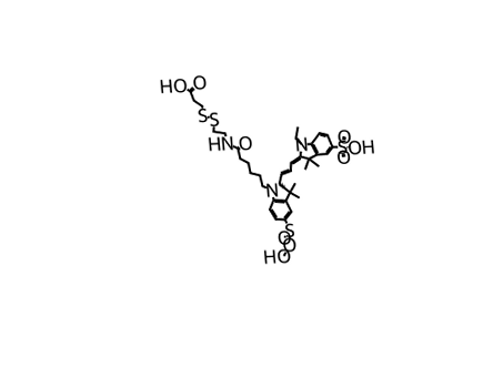 CCN1/C(=C/C=C/C2=[N+](CCCCCC(=O)NCCSSCCC(=O)O)c3ccc(SOOO)cc3C2(C)C)C(C)(C)c2cc(S(=O)(=O)O)ccc21